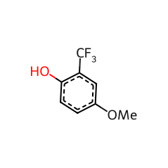 COc1ccc(O)c(C(F)(F)F)c1